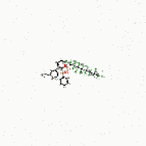 Cc1ccc(S(OS(=O)(=O)C(F)(F)C(F)(F)C(F)(F)C(F)(F)C(F)(F)C(F)(F)C(F)(F)C(F)(F)F)(c2ccccc2)c2ccccc2)cc1